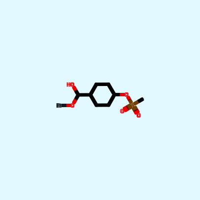 CCOC(O)C1CCC(OS(C)(=O)=O)CC1